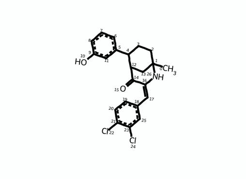 CC12CCC(c3cccc(O)c3)C(C1)C(=O)C(=Cc1ccc(Cl)c(Cl)c1)N2